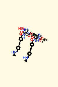 CC(C)(C)OC(=O)NC(C)(C)[C@H](NC(=O)c1ccc(C#Cc2ccc(CNC3CC3)cc2)cc1)C(=O)NO.COC(=O)[C@@H](NC(=O)c1ccc(C#Cc2ccc(CNC3CC3)cc2)cc1)C(C)(C)NC(=O)OC(C)(C)C